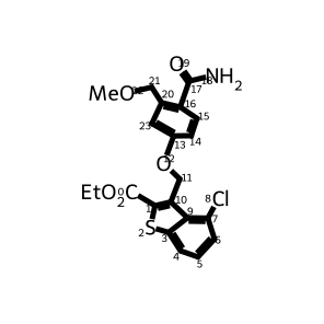 CCOC(=O)c1sc2cccc(Cl)c2c1COc1ccc(C(N)=O)c(COC)c1